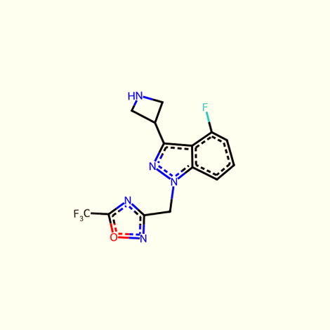 Fc1cccc2c1c(C1CNC1)nn2Cc1noc(C(F)(F)F)n1